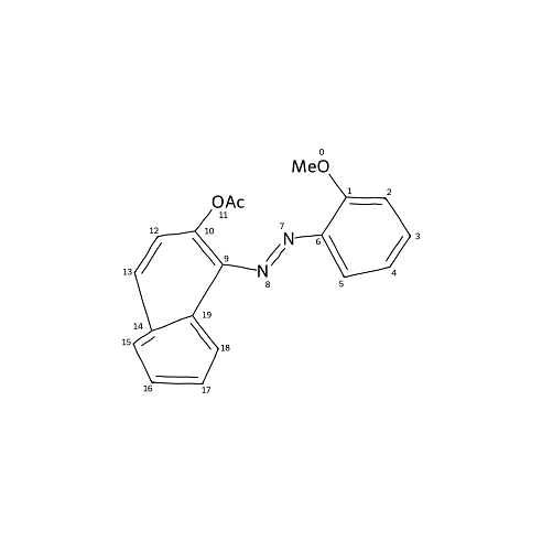 COc1ccccc1N=Nc1c(OC(C)=O)ccc2ccccc12